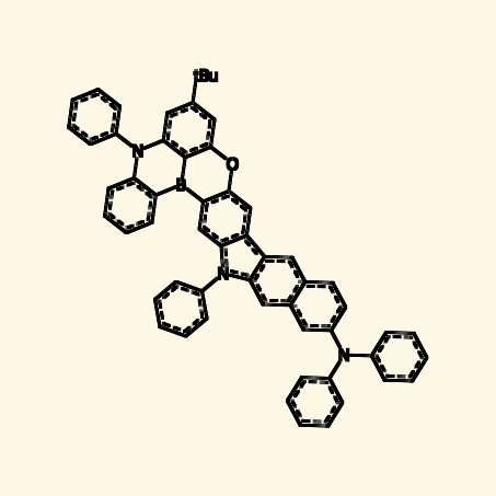 CC(C)(C)c1cc2c3c(c1)N(c1ccccc1)c1ccccc1B3c1cc3c(cc1O2)c1cc2ccc(N(c4ccccc4)c4ccccc4)cc2cc1n3-c1ccccc1